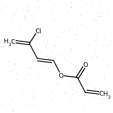 C=CC(=O)OC=CC(=C)Cl